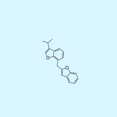 CC(C)c1coc2c(Cc3cc4ccccc4o3)cccc12